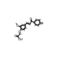 COc1cc(/C=C/C(=O)c2ccc(F)cc2)ccc1OCC(=O)O